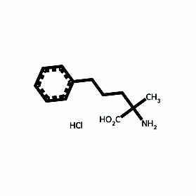 CC(N)(CCCc1ccccc1)C(=O)O.Cl